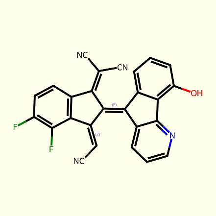 N#C/C=C1/C(=C2\c3cccnc3-c3c(O)cccc32)C(=C(C#N)C#N)c2ccc(F)c(F)c21